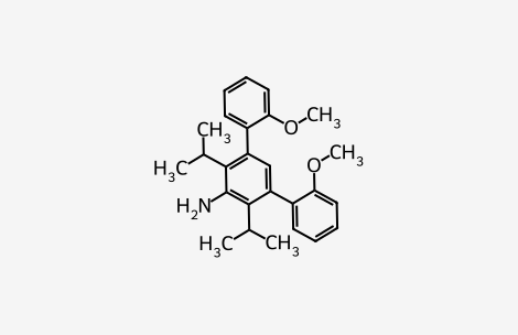 COc1ccccc1-c1cc(-c2ccccc2OC)c(C(C)C)c(N)c1C(C)C